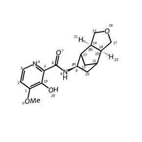 COc1ccnc(C(=O)N[C@@H]2CC3CC2[C@H]2COC[C@@H]32)c1O